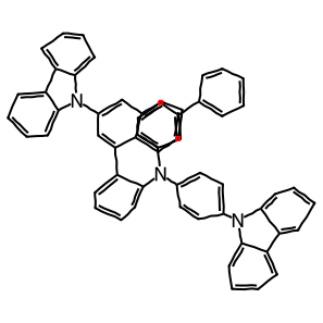 c1ccc(-c2cccc(N(c3ccc(-n4c5ccccc5c5ccccc54)cc3)c3ccccc3-c3cc(-n4c5ccccc5c5ccccc54)cc4ccccc34)c2)cc1